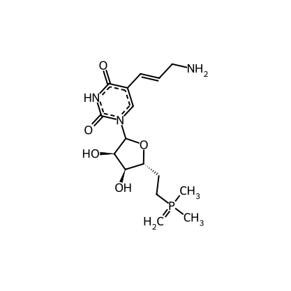 C=P(C)(C)CC[C@H]1OC(n2cc(/C=C/CN)c(=O)[nH]c2=O)[C@H](O)[C@@H]1O